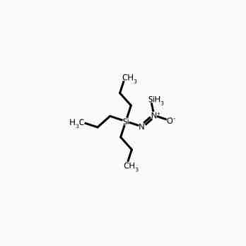 CCC[Si](CCC)(CCC)N=[N+]([O-])[SiH3]